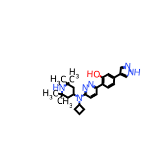 CC1(C)CC(N(c2ccc(-c3ccc(-c4cn[nH]c4)cc3O)nn2)C2CCC2)CC(C)(C)N1